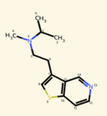 CC(C)N(C)CCc1csc2ccncc12